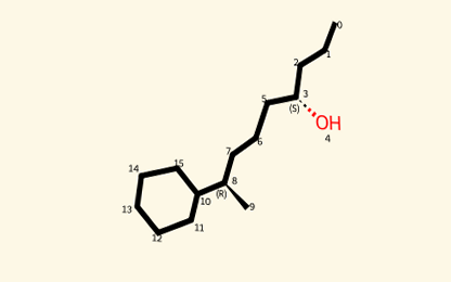 CCC[C@H](O)CCC[C@@H](C)C1CCCCC1